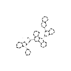 C=C/C(=C\c1cc2ccccc2n1-c1ccccc1)c1cc2c3ccccc3n(-c3nc(-c4ccc5ccccc5c4)c4ccccc4n3)c2c2ccccc12